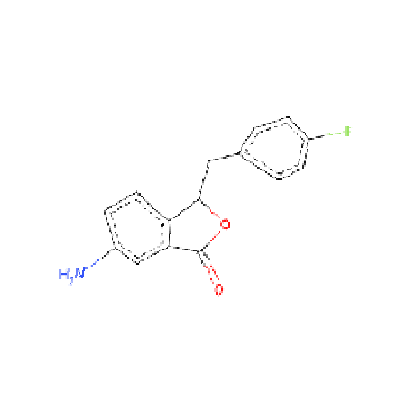 Nc1ccc2c(c1)C(=O)OC2Cc1ccc(F)cc1